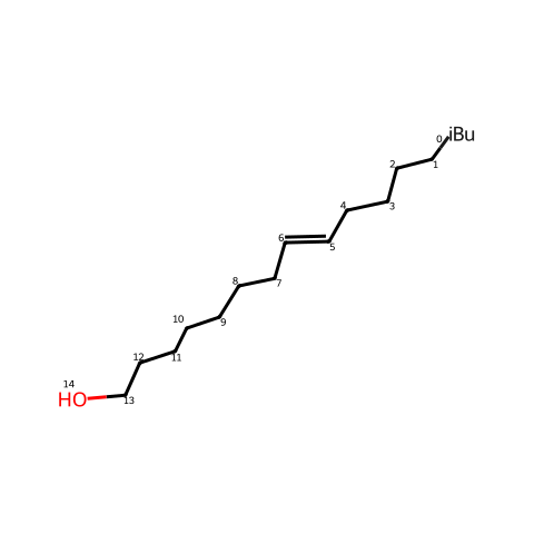 CCC(C)CCCCC=CCCCCCCCO